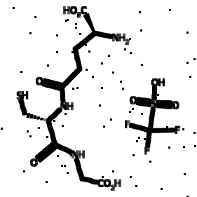 N[C@@H](CCC(=O)N[C@@H](CS)C(=O)NCC(=O)O)C(=O)O.O=S(=O)(O)C(F)(F)F